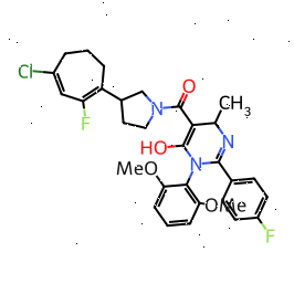 COc1cccc(OC)c1N1C(c2ccc(F)cc2)=NC(C)C(C(=O)N2CCC(C3=C(F)C=C(Cl)CCC3)C2)=C1O